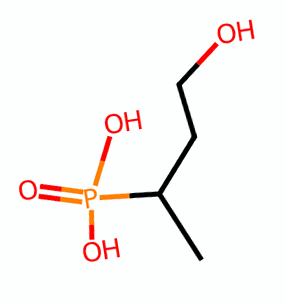 CC(CCO)P(=O)(O)O